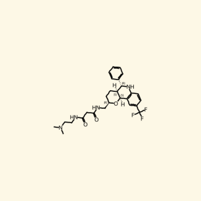 CN(C)CCNC(=O)CC(=O)NC[C@H]1CC[C@@H]2[C@H](O1)c1cc(C(F)(F)F)ccc1N[C@H]2c1ccccc1